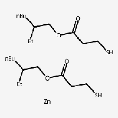 CCCCC(CC)COC(=O)CCS.CCCCC(CC)COC(=O)CCS.[Zn]